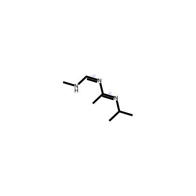 CN/C=N\C(C)=N\C(C)C